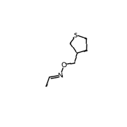 C/C=N/OCC1CCSC1